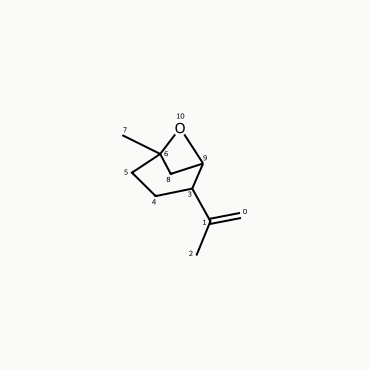 C=C(C)C1CCC2(C)CC1O2